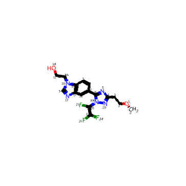 COCCc1nc(-c2ccc3c(c2)ncn3CCO)n(C(F)C(F)F)n1